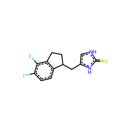 Fc1ccc2c(c1F)CCC2Cc1c[nH]c(=S)[nH]1